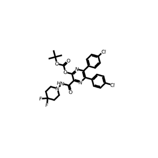 CC(C)(C)OC(=O)Oc1nc(-c2ccc(Cl)cc2)c(-c2ccc(Cl)cc2)nc1C(=O)NN1CCC(F)(F)CC1